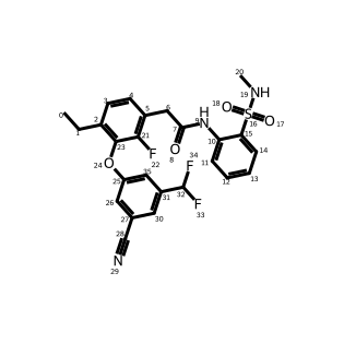 CCc1ccc(CC(=O)Nc2ccccc2S(=O)(=O)NC)c(F)c1Oc1cc(C#N)cc(C(F)F)c1